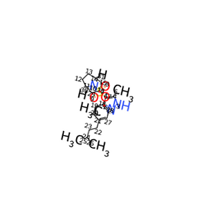 Cc1n[nH]c(C)c1S(=O)(=O)N1[C@@H]2CC[C@H]1C[C@@H](Oc1ccc(CCC(C)C)cc1)C2